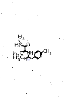 C=C(N/C(Cc1ccc(C)cc1)=N\C)C(=O)NC